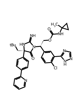 CC(C)(C)C[C@]1(c2ccc(-c3ccccn3)cc2)NC(=N)N([C@H](COC(=O)NC2(C)CC2)c2ccc(Cl)c(-c3ncn[nH]3)c2)C1=O